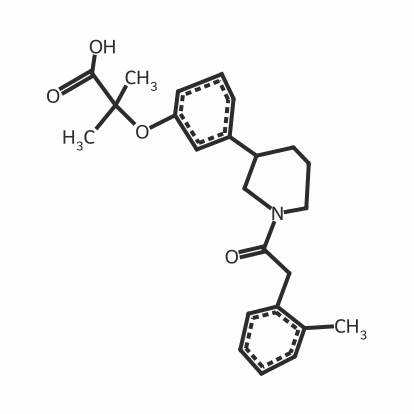 Cc1ccccc1CC(=O)N1CCCC(c2cccc(OC(C)(C)C(=O)O)c2)C1